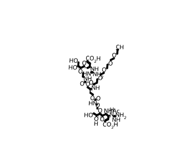 C#CCOCCOCCOCCOCCC(=O)N[C@@H](CCOC(=O)NOCO[C@@H]([C@@H]1OC(C(=O)O)=C[C@H](NC(=N)N)[C@H]1NC(C)=O)[C@H](O)CO)COC(=O)NCCO[C@H]([C@H](O)CO)[C@H]1C[C@@H](NC(=N)N)C=C(C(=O)O)O1